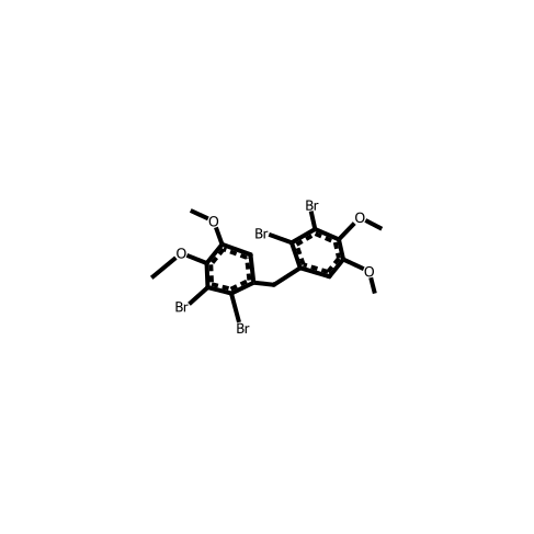 COc1cc(Cc2cc(OC)c(OC)c(Br)c2Br)c(Br)c(Br)c1OC